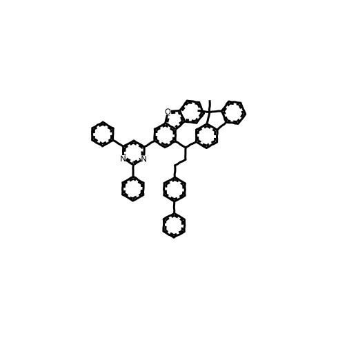 CC1(C)c2ccccc2-c2ccc(C(CCc3ccc(-c4ccccc4)cc3)c3cc(-c4cc(-c5ccccc5)nc(-c5ccccc5)n4)cc4oc5ccccc5c34)cc21